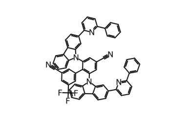 N#Cc1cc(-c2c(-n3c4ccccc4c4ccc(-c5cccc(-c6ccccc6)n5)cc43)cc(C#N)cc2-n2c3ccccc3c3ccc(-c4cccc(-c5ccccc5)n4)cc32)cc(C(F)(F)F)c1